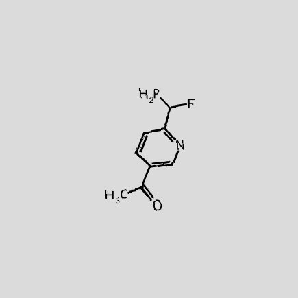 CC(=O)c1ccc(C(F)P)nc1